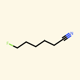 N#CC[CH]CCCF